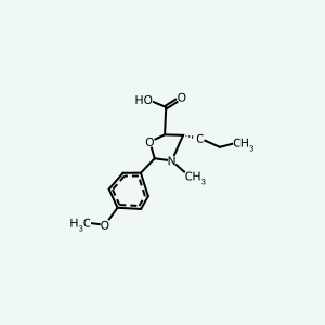 CCC[C@H]1C(C(=O)O)OC(c2ccc(OC)cc2)N1C